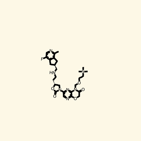 Cc1ncc(F)c2c1C[C@@H](CNCC[C@@H]1CN(c3cnc4c(n3)N(COCCS(C)(C)C)C(=O)CO4)C(=O)O1)C2